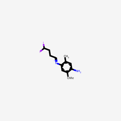 COc1cc(/N=C/CCC(I)I)c(C)cc1N